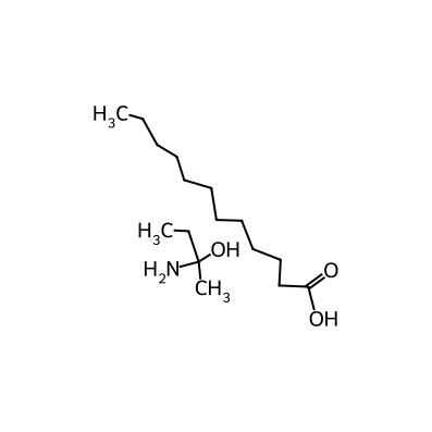 CCC(C)(N)O.CCCCCCCCCCCC(=O)O